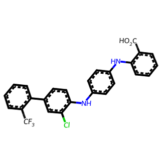 O=C(O)c1ccccc1Nc1ccc(Nc2ccc(-c3ccccc3C(F)(F)F)cc2Cl)cc1